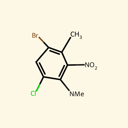 CNc1c(Cl)cc(Br)c(C)c1[N+](=O)[O-]